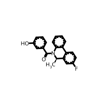 C[C@@H]1c2cc(F)ccc2-c2ccccc2N1C(=O)c1cccc(O)c1